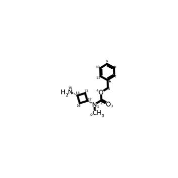 CN(C(=O)OCc1ccccc1)[C@H]1C[C@@H](N)C1